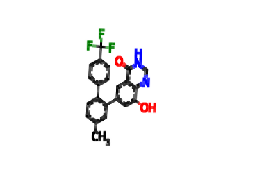 Cc1ccc(-c2ccc(C(F)(F)F)cc2)c(-c2cc(O)c3nc[nH]c(=O)c3c2)c1